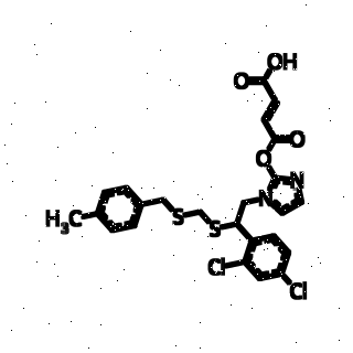 Cc1ccc(CSCSC(Cn2ccnc2OC(=O)/C=C/C(=O)O)c2ccc(Cl)cc2Cl)cc1